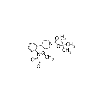 CON(C(=O)C=O)c1ccccc1C1CCN(C(=O)OC(C)(C)C)CC1